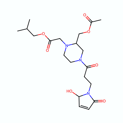 CC(=O)OCC1CN(C(=O)CCN2C(=O)C=CC2O)CCN1CC(=O)OCC(C)C